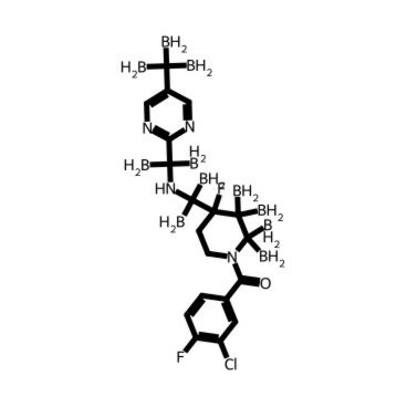 BC(B)(B)c1cnc(C(B)(B)NC(B)(B)C2(F)CCN(C(=O)c3ccc(F)c(Cl)c3)C(B)(B)C2(B)B)nc1